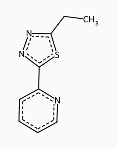 CCc1nnc(-c2ccccn2)s1